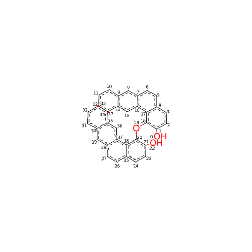 Oc1ccc2ccc3cc4ccccc4cc3c2c1Oc1c(O)ccc2ccc3cc4ccccc4cc3c12